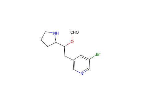 O=COC(Cc1cncc(Br)c1)C1CCCN1